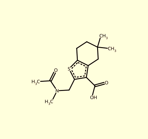 CC(=O)N(C)Cc1sc2c(c1C(=O)O)CC(C)(C)CC2